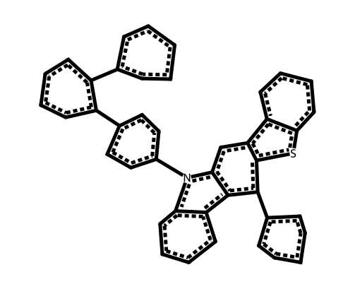 c1ccc(-c2ccccc2-c2ccc(-n3c4ccccc4c4c(-c5ccccc5)c5sc6ccccc6c5cc43)cc2)cc1